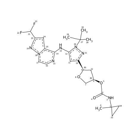 CC1(NC(=O)O[C@H]2CO[C@@H](c3cc(Nc4nccn5nc(C(F)F)cc45)n(C(C)(C)C)n3)C2)CC1